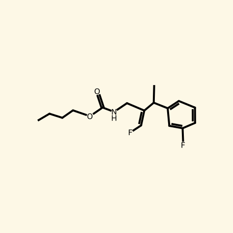 CCCCOC(=O)NCC(=CF)C(C)c1cccc(F)c1